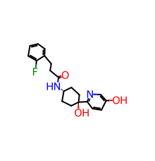 O=C(CCc1ccccc1F)N[C@H]1CC[C@@](O)(c2ccc(O)cn2)CC1